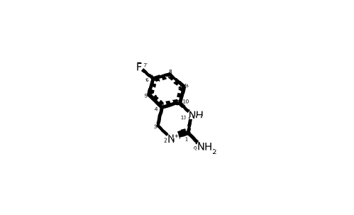 NC1=[N+]Cc2cc(F)ccc2N1